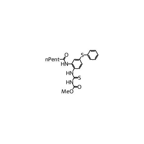 CCCCCC(=O)Nc1cc(Sc2ccccc2)ccc1NC(=S)NC(=O)OC